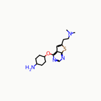 CN(C)CCc1cc2c(OC3CCC(N)CC3)ncnc2s1